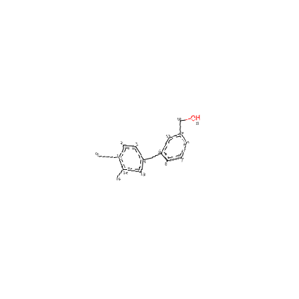 Cc1ccc(-c2cccc(CO)c2)cc1C